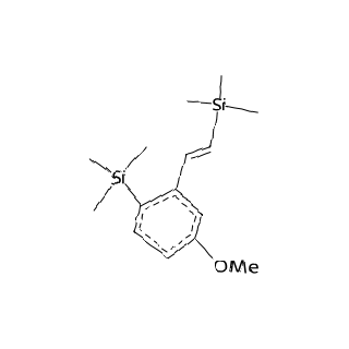 COc1ccc([Si](C)(C)C)c(C=C[Si](C)(C)C)c1